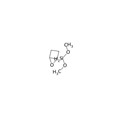 C1CC2OC12.CO[SiH2]OC